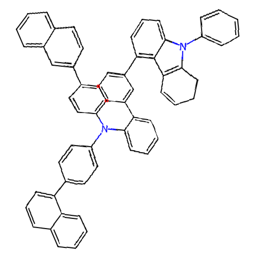 C1=Cc2c(n(-c3ccccc3)c3cccc(-c4cccc(-c5ccccc5N(c5ccc(-c6ccc7ccccc7c6)cc5)c5ccc(-c6cccc7ccccc67)cc5)c4)c23)CC1